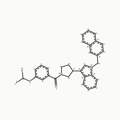 O=C(c1cccc(SC(F)F)c1)N1CCC(c2cn(Cc3ccc4ccccc4c3)c3ccccc23)C1